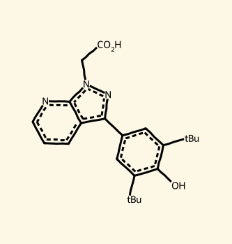 CC(C)(C)c1cc(-c2nn(CC(=O)O)c3ncccc23)cc(C(C)(C)C)c1O